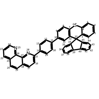 c1ccc2c(c1)Sc1ccc(-c3ccc(-c4ccc5ccc6cccnc6c5n4)cc3)cc1C21c2ccccc2-c2ccccc21